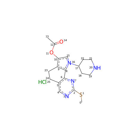 CSc1ncc2c(n1)-c1c(c(OC(C)=O)cn1C1CCNCC1)CC2.Cl